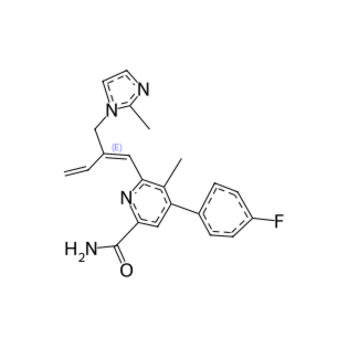 C=C/C(=C\c1nc(C(N)=O)cc(-c2ccc(F)cc2)c1C)Cn1ccnc1C